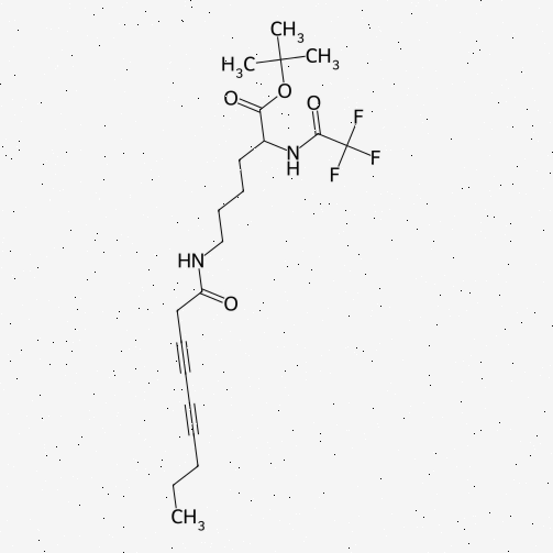 CCCC#CC#CCC(=O)NCCCCC(NC(=O)C(F)(F)F)C(=O)OC(C)(C)C